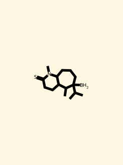 BC1(C(C)C)CCCC2C(CCC(=S)N2C)C1C